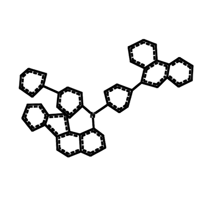 c1ccc(-c2ccc(N(c3ccc(-c4cc5ccccc5c5ccccc45)cc3)c3cccc4ccc5c6ccccc6oc5c34)cc2)cc1